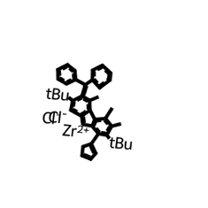 Cc1c(C)c(C(C)(C)C)c(C2=CC=CC2)c2c1-c1c(C)c(=C(c3ccccc3)c3ccccc3)c(C(C)(C)C)cc1=[C]2[Zr+2].[Cl-].[Cl-]